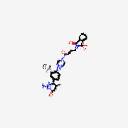 CC1CC(=O)NN=C1c1ccc(N2CCN(C(=O)CCCN3C(=O)c4ccccc4C3=O)CC2)c([N+](=O)[O-])c1